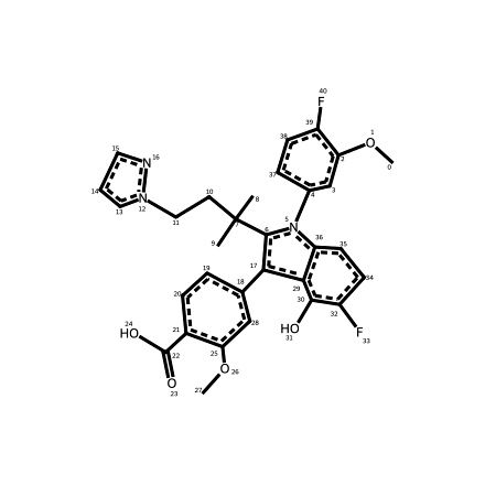 COc1cc(-n2c(C(C)(C)CCn3cccn3)c(-c3ccc(C(=O)O)c(OC)c3)c3c(O)c(F)ccc32)ccc1F